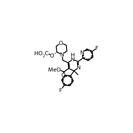 COC(=O)C1=C(CN2CCOC[C@H]2OC(=O)O)NC(c2ccc(F)cn2)=NC1(C)c1ccc(F)cc1